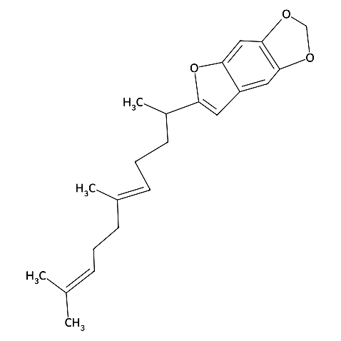 CC(C)=CCC/C(C)=C/CCC(C)c1cc2cc3c(cc2o1)OCO3